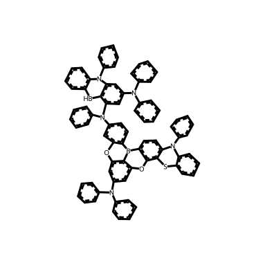 B1c2ccccc2N(c2ccccc2)c2cc(N(c3ccccc3)c3ccccc3)cc(N(c3ccccc3)c3ccc4c(c3)Oc3cc(N(c5ccccc5)c5ccccc5)cc5c3B4c3ccc4c(c3O5)Sc3ccccc3N4c3ccccc3)c21